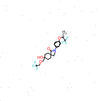 C[C@H](Oc1ccc(N2CCC3(CCC(O)(COCC(F)(F)F)CC3)C2=O)cc1)C(F)(F)F